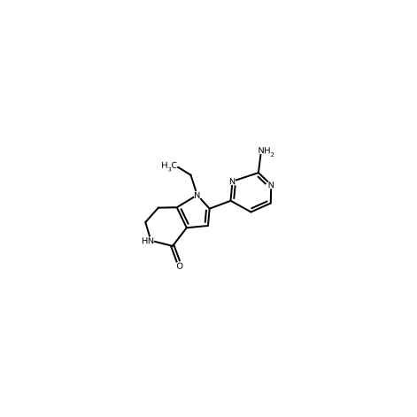 CCn1c(-c2ccnc(N)n2)cc2c1CCNC2=O